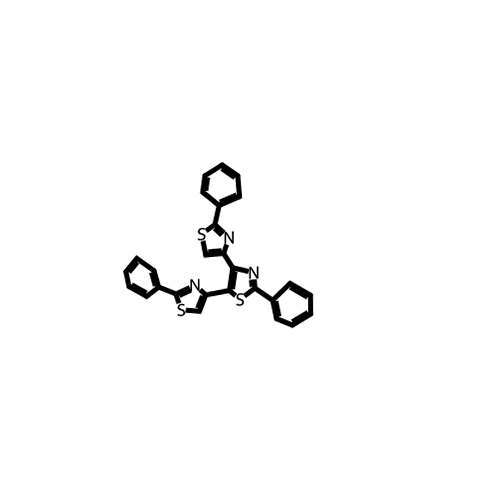 c1ccc(-c2nc(-c3nc(-c4ccccc4)sc3-c3csc(-c4ccccc4)n3)cs2)cc1